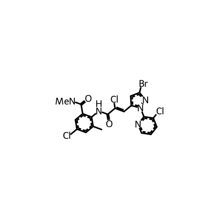 CNC(=O)c1cc(Cl)cc(C)c1NC(=O)/C(Cl)=C/c1cc(Br)nn1-c1ncccc1Cl